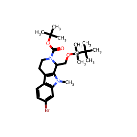 Cn1c2c(c3ccc(Br)cc31)CCN(C(=O)OC(C)(C)C)C2CO[Si](C)(C)C(C)(C)C